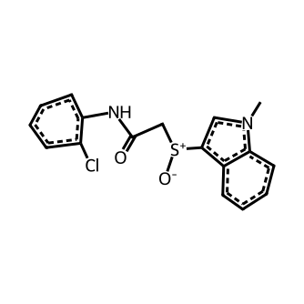 Cn1cc([S+]([O-])CC(=O)Nc2ccccc2Cl)c2ccccc21